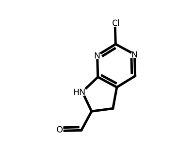 O=CC1Cc2cnc(Cl)nc2N1